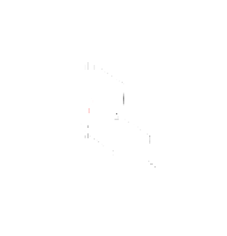 CC(C)[CH2][Al][CH2]C(C)C.C[SiH2]O